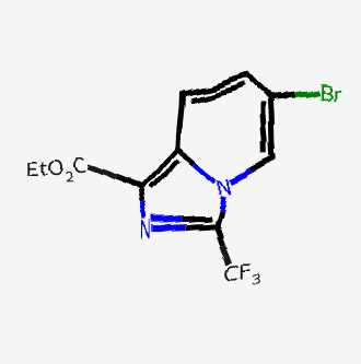 CCOC(=O)c1nc(C(F)(F)F)n2cc(Br)ccc12